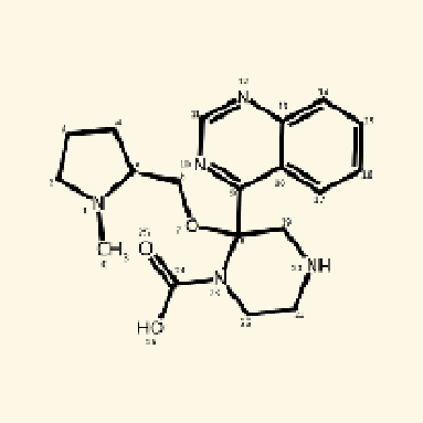 CN1CCC[C@H]1COC1(c2ncnc3ccccc23)CNCCN1C(=O)O